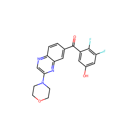 O=C(c1ccc2ncc(N3CCOCC3)nc2c1)c1cc(O)cc(F)c1F